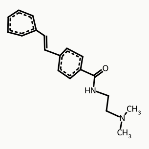 CN(C)CCNC(=O)c1ccc(/C=C/c2ccccc2)cc1